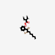 CCCCCCC(Br)C(Br)c1ccccc1OOC(=O)C(CC)CC